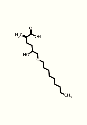 C=C(CCC(O)COCCCCCCCCC)C(=O)O